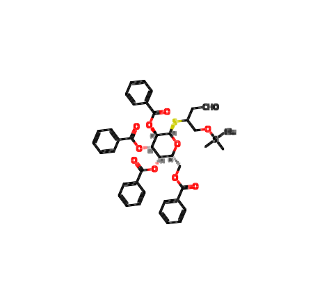 CC(C)(C)[Si](C)(C)OCC(CC=O)S[C@H]1O[C@H](COC(=O)c2ccccc2)[C@H](OC(=O)c2ccccc2)[C@H](OC(=O)c2ccccc2)[C@H]1OC(=O)c1ccccc1